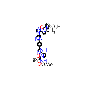 COC(=O)N[C@H](C(=O)N1CCC[C@H]1c1ncc(-c2ccc(-c3ncc(-n4ccnc4[C@@H]4CCCN4C(=O)[C@H](C(C)C)N(C)C(=O)O)cn3)cc2)[nH]1)C(C)C